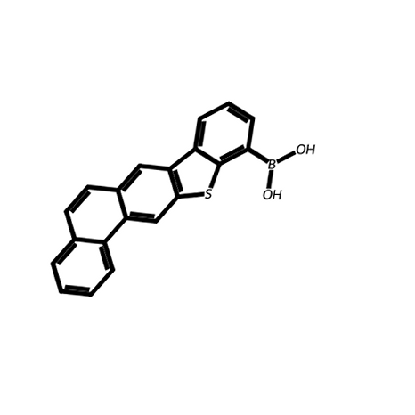 OB(O)c1cccc2c1sc1cc3c(ccc4ccccc43)cc12